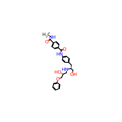 CNC(=O)c1ccc(C(=O)Nc2ccc(C[C@@H](CO)NC[C@H](O)COc3ccccc3)cc2)cc1